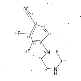 N#Cc1ccc(N2CCNCC2)c(F)c1F